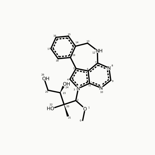 COC(n1cc2c3c(ncnc31)NCc1ccccc1-2)[C@](C)(O)[C@H](O)CO